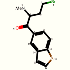 CNC(CCBr)C(=O)c1ccc2sccc2c1